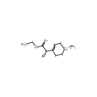 CCOC(=O)C(Br)C1=CC[C@H](N)CC1